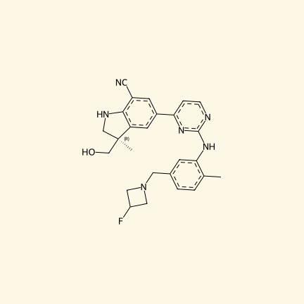 Cc1ccc(CN2CC(F)C2)cc1Nc1nccc(-c2cc(C#N)c3c(c2)[C@@](C)(CO)CN3)n1